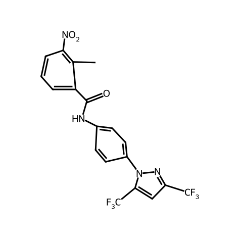 Cc1c(C(=O)Nc2ccc(-n3nc(C(F)(F)F)cc3C(F)(F)F)cc2)cccc1[N+](=O)[O-]